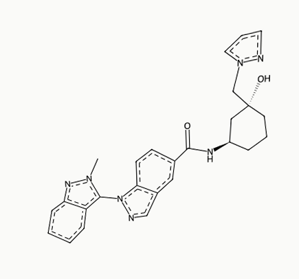 Cn1nc2ccccc2c1-n1ncc2cc(C(=O)N[C@@H]3CCC[C@](O)(Cn4cccn4)C3)ccc21